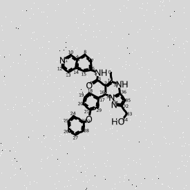 CC1=C(C(=O)Nc2ccc3cnccc3c2)C(c2cccc(Oc3ccccc3)c2)n2nc(CO)cc2N1